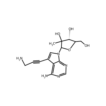 CC1(O)C(n2cc(C#CCN)c3c(N)ncnc32)OC(CO)[C@H]1O